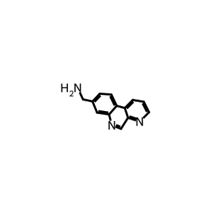 NCc1ccc2c(c1)ncc1ncccc12